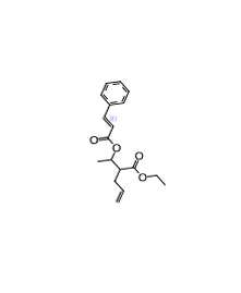 C=CCC(C(=O)OCC)C(C)OC(=O)/C=C/c1ccccc1